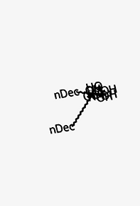 CCCCCCCCCCCCCCCCCCCCCCCCCC(=O)N[C@@H](COC1OC(CO)C(O)C(O)C1O)[C@@H](O)CCCCCCCCCCCCCCC